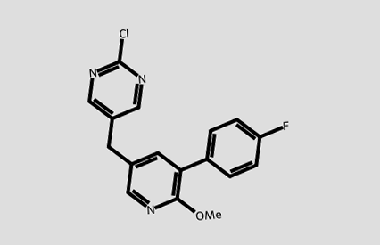 COc1ncc(Cc2cnc(Cl)nc2)cc1-c1ccc(F)cc1